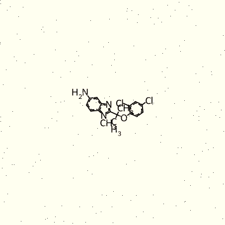 Cn1c(C(C)(C)Oc2ccc(Cl)cc2Cl)nc2cc(N)ccc21